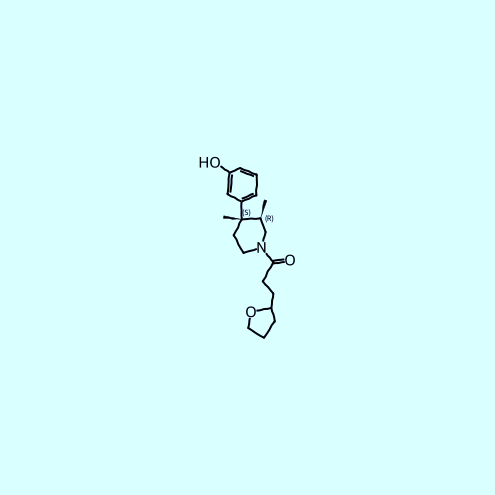 C[C@H]1CN(C(=O)CCC2CCCO2)CC[C@]1(C)c1cccc(O)c1